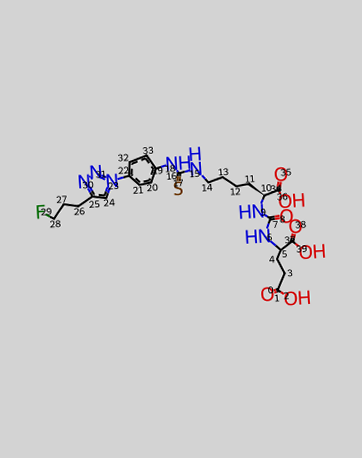 O=C(O)CCC(NC(=O)N[C@@H](CCCCNC(=S)Nc1ccc(-n2cc(CCCF)nn2)cc1)C(=O)O)C(=O)O